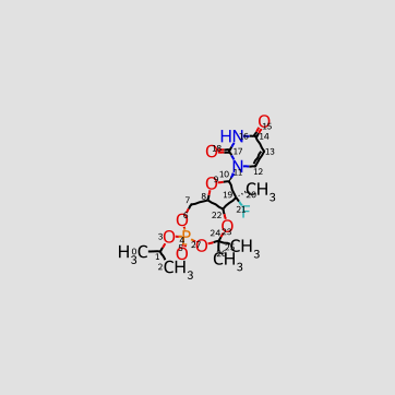 CC(C)OP1(=O)OCC2O[C@@H](n3ccc(=O)[nH]c3=O)[C@@](C)(F)C2OC(C)(C)O1